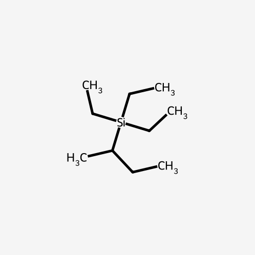 CCC(C)[Si](CC)(CC)CC